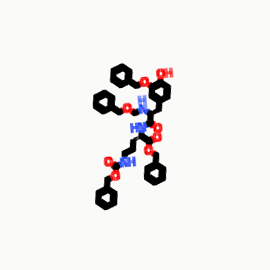 O=C(NCCC[C@H](NC(=O)[C@H](Cc1ccc(O)c(OCc2ccccc2)c1)NCOCc1ccccc1)C(=O)OCc1ccccc1)OCc1ccccc1